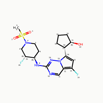 CS(=O)(=O)N1CC[C@@H](Nc2ncc3c(F)cc([C@@H]4CCC[C@H]4O)n3n2)[C@H](F)C1